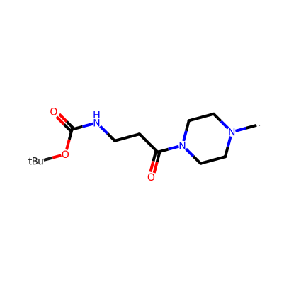 [CH2]N1CCN(C(=O)CCNC(=O)OC(C)(C)C)CC1